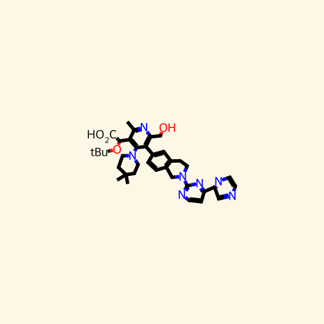 Cc1nc(CO)c(-c2ccc3c(c2)CCN(c2nccc(-c4cnccn4)n2)C3)c(N2CCC(C)(C)CC2)c1C(OC(C)(C)C)C(=O)O